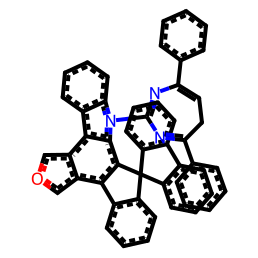 C1=C(c2ccccc2)N=C(n2c3ccccc3c3c4cocc4c4c(c32)C2(c3ccccc3-c3ccccc32)c2ccccc2-4)N=C(c2ccccc2)C1